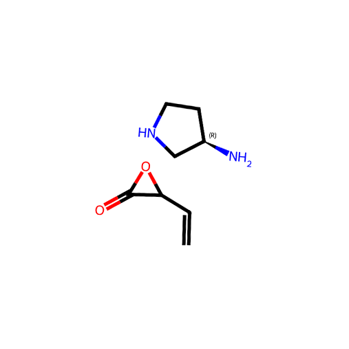 C=CC1OC1=O.N[C@@H]1CCNC1